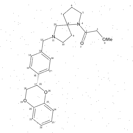 COCC(=O)N1CCCC12CCN(Cc1ccc([C@H]3COc4ccccc4O3)cc1)C2